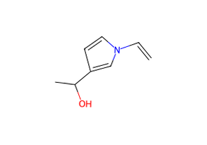 C=Cn1ccc(C(C)O)c1